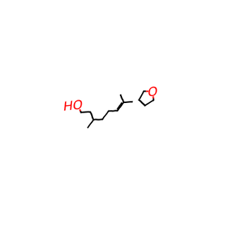 C1CCOC1.CC(C)=CCCC(C)CCO